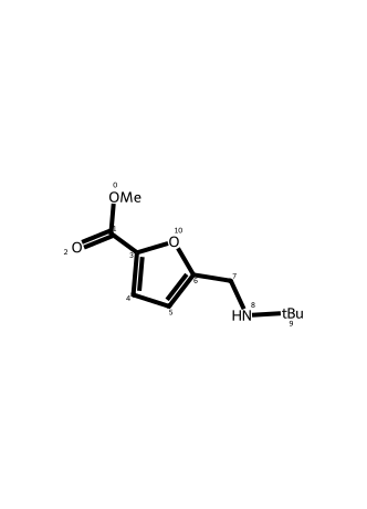 COC(=O)c1ccc(CNC(C)(C)C)o1